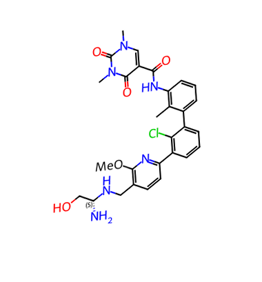 COc1nc(-c2cccc(-c3cccc(NC(=O)c4cn(C)c(=O)n(C)c4=O)c3C)c2Cl)ccc1CN[C@H](N)CO